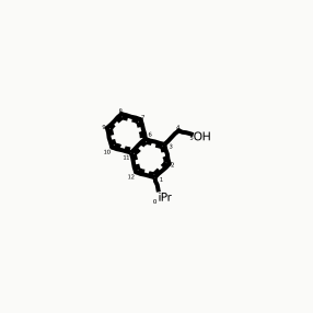 CC(C)c1cc(CO)c2ccccc2c1